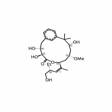 CC[C@H](/C=C(/C)[C@@H]1C[C@@H](OC)C[C@@H](O)C(C)(C)c2cccc(c2)C[C@@H](O)[C@H](O)C(=O)O1)CO